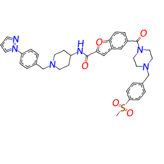 CS(=O)(=O)c1ccc(CN2CCN(C(=O)c3ccc4oc(C(=O)NC5CCN(Cc6ccc(-n7cccn7)cc6)CC5)cc4c3)CC2)cc1